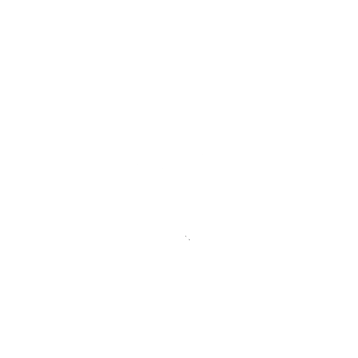 CC(C)c1cc(CN)cc(C2CC2)c1